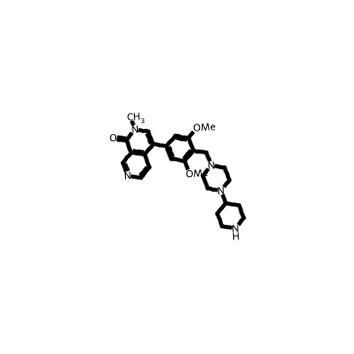 COc1cc(-c2cn(C)c(=O)c3cnccc23)cc(OC)c1CN1CCN(C2CCNCC2)CC1